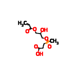 C=CC(=O)OCC(O)COP(C)(=O)CCC(=O)O